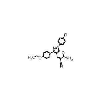 CCOc1ccc(-c2nn(-c3ccc(Cl)cc3)cc2/C=C(/C#N)C(N)=O)cc1